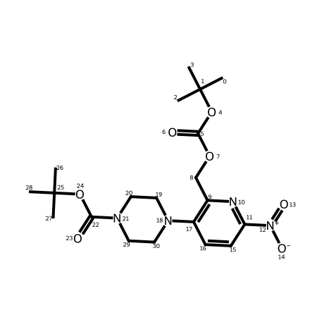 CC(C)(C)OC(=O)OCc1nc([N+](=O)[O-])ccc1N1CCN(C(=O)OC(C)(C)C)CC1